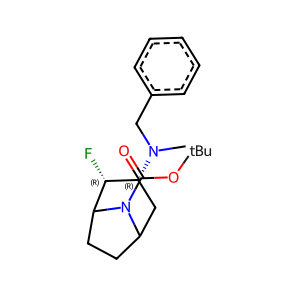 CN(Cc1ccccc1)[C@@H]1CC2CCC([C@@H]1F)N2C(=O)OC(C)(C)C